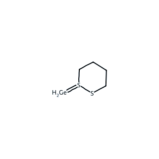 [GeH2]=[S]1CCCCS1